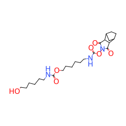 O=C(NCCCCCCO)OCCCCCCNC(=O)ON1C(=O)C2C3CCC(C3)C2C1=O